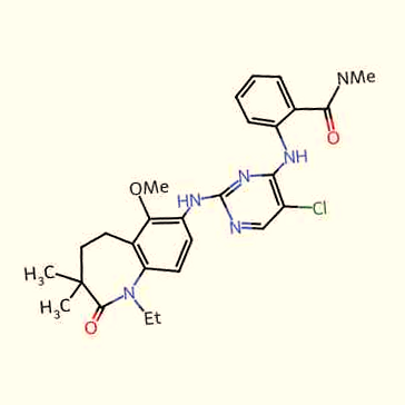 CCN1C(=O)C(C)(C)CCc2c1ccc(Nc1ncc(Cl)c(Nc3ccccc3C(=O)NC)n1)c2OC